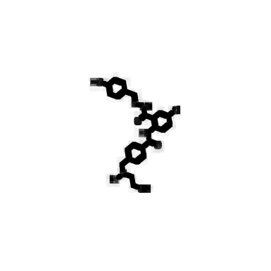 CCN(CCO)Cc1ccc(C(=O)Nc2ccc(Cl)cc2C(=O)NN=Cc2ccc(O)cc2)cc1